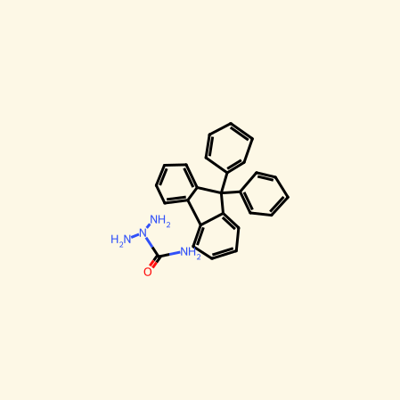 NC(=O)N(N)N.c1ccc(C2(c3ccccc3)c3ccccc3-c3ccccc32)cc1